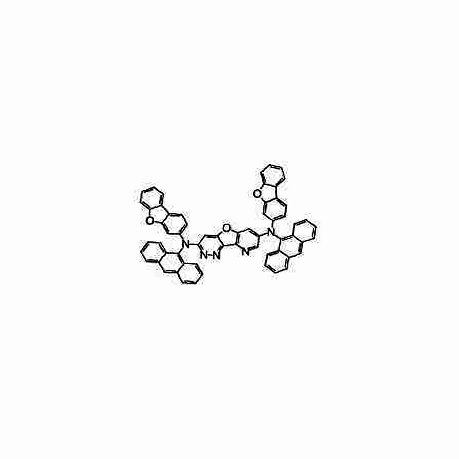 c1ccc2c(N(c3ccc4c(c3)oc3ccccc34)c3cnc4c(c3)oc3cc(N(c5ccc6c(c5)oc5ccccc56)c5c6ccccc6cc6ccccc56)nnc34)c3ccccc3cc2c1